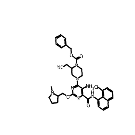 CN1CCCC1COc1nc(C(=O)Nc2cccc3cccc(Cl)c23)c(N)c(N2CCN(C(=O)OCc3ccccc3)C(CC#N)C2)n1